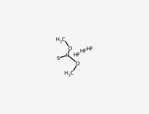 CON([S])OC.F.F.F